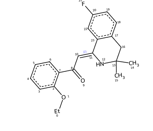 CCOc1ccccc1C(=O)/C=C1\NC(C)(C)Cc2ccc(F)cc21